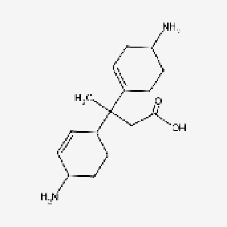 CC(CC(=O)O)(C1=CCC(N)CC1)C1C=CC(N)CC1